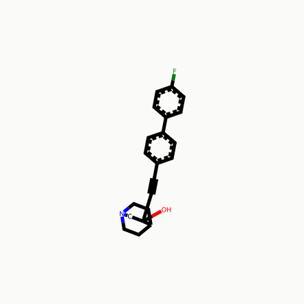 OC1(C#Cc2ccc(-c3ccc(F)cc3)cc2)CN2CCC1CC2